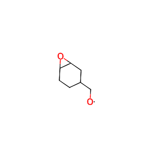 [O]CC1CCC2OC2C1